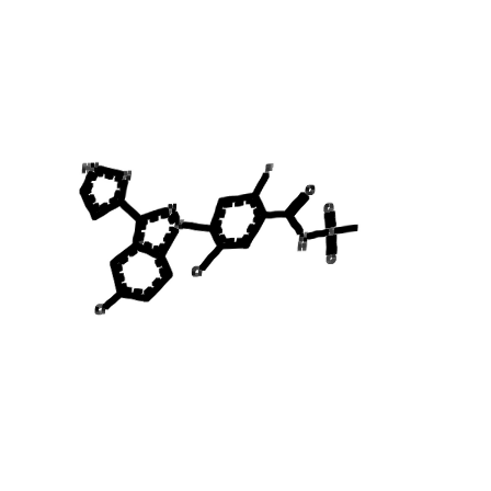 CS(=O)(=O)NC(=O)c1cc(Cl)c(-n2nc(-c3cc[nH]n3)c3cc(Cl)ccc32)cc1F